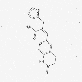 NC(=O)/C(=C\c1cnc2c(c1)CCC(=O)N2)Cc1cccs1